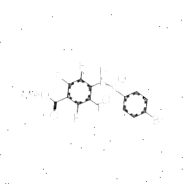 COC(=O)c1c(F)c(F)c(NS(=O)(=O)c2ccc(Br)cc2)c(F)c1F